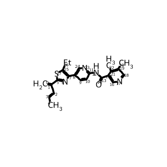 C=C(/C=C/C)c1nc(-c2ccc(NC(=O)c3cncc(C)c3C)nc2)c(CC)s1